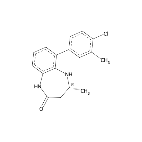 Cc1cc(-c2cccc3c2N[C@H](C)CC(=O)N3)ccc1Cl